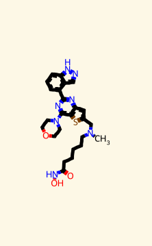 CN(CCCCCC(=O)NO)Cc1cc2nc(-c3cccc4[nH]ncc34)nc(N3CCOCC3)c2s1